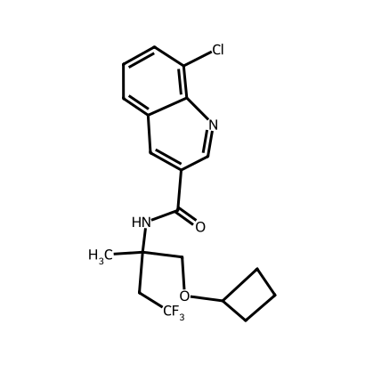 CC(COC1CCC1)(CC(F)(F)F)NC(=O)c1cnc2c(Cl)cccc2c1